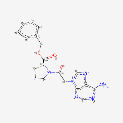 Nc1ncnc2c1ncn2CC(=O)N1CCC[C@H]1C(=O)OCc1ccccc1